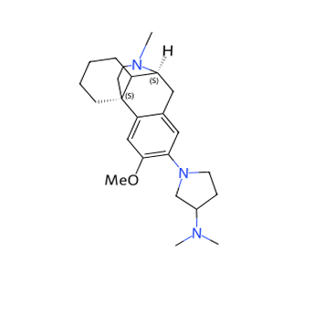 COc1cc2c(cc1N1CCC(N(C)C)C1)C[C@H]1C3CCCC[C@@]23CCN1C